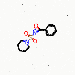 O=S(=O)(N1CCCCC1)N1OC1c1ccccc1